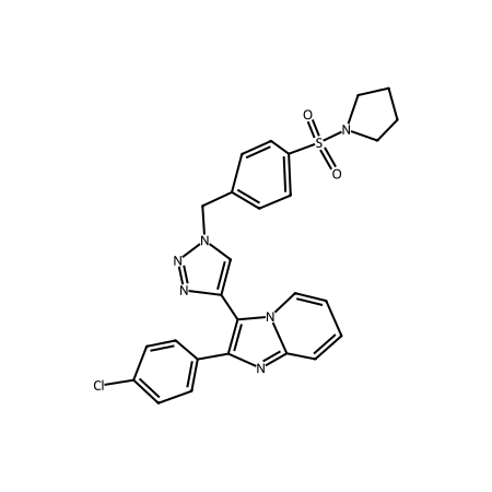 O=S(=O)(c1ccc(Cn2cc(-c3c(-c4ccc(Cl)cc4)nc4ccccn34)nn2)cc1)N1CCCC1